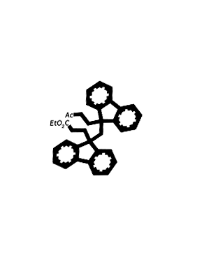 CCOC(=O)CCC1(CC2(CCC(C)=O)c3ccccc3-c3ccccc32)c2ccccc2-c2ccccc21